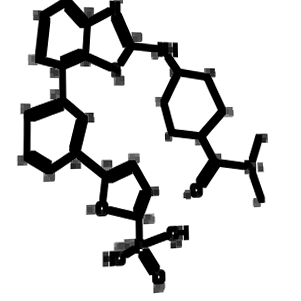 CN(C)C(=O)C1CCC(Nc2nc3cccc(-c4cccc(-c5ccc(P(=O)(O)O)o5)c4)c3s2)CC1